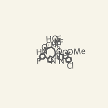 COC(=O)c1ccc(Cl)cc1-c1cc(=O)n([C@H]2CCC[C@@H](C)C(=O)Nc3ccc(F)cc3-c3ccnc2c3)cn1.O=C(O)C(F)(F)F